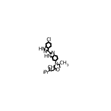 CC(C)N(C)CC1CN(c2ccc3nc(-c4n[nH]c5cc(Cl)ccc45)[nH]c3c2)C(C)CO1